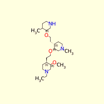 CCN1CC[C@@H](CCO[C@H]2CN(C)CC[C@H]2CCO[C@H]2CNCCC2C)[C@@H](OC)C1